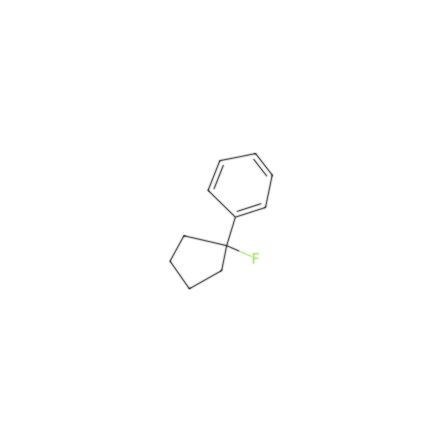 FC1(c2ccccc2)CCCC1